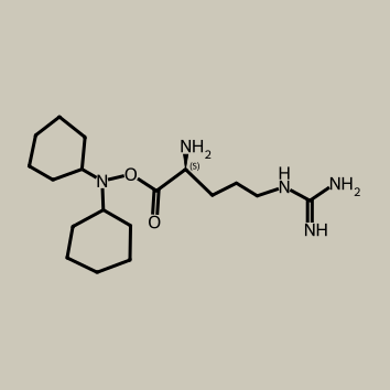 N=C(N)NCCC[C@H](N)C(=O)ON(C1CCCCC1)C1CCCCC1